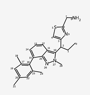 CCC(c1csc(CN)n1)c1c2cccc(-c3c(C)cc(C)cc3C)c2nn1C